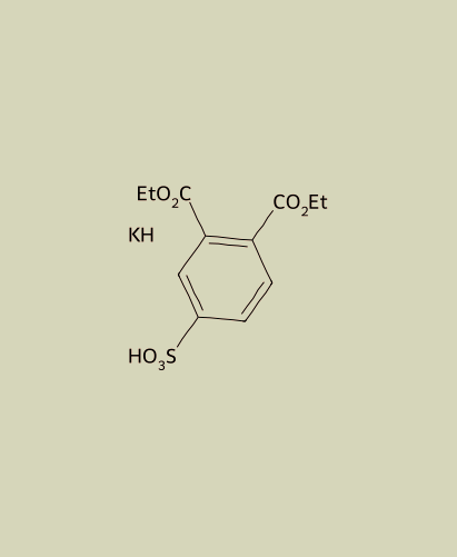 CCOC(=O)c1ccc(S(=O)(=O)O)cc1C(=O)OCC.[KH]